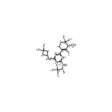 C[C@H](Nc1nc(NC2CC(F)(F)C2)nc(C2=C(F)[C@H](O)C(F)(F)CC2)n1)C(F)(F)F